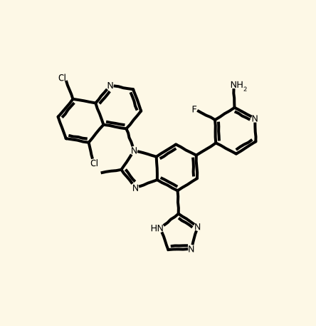 Cc1nc2c(-c3nnc[nH]3)cc(-c3ccnc(N)c3F)cc2n1-c1ccnc2c(Cl)ccc(Cl)c12